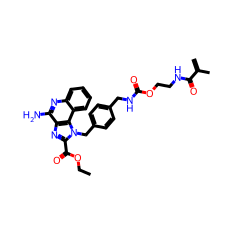 C=C(C)C(=O)NCCOC(=O)NCc1ccc(Cn2c(C(=O)OCC)nc3c(N)nc4ccccc4c32)cc1